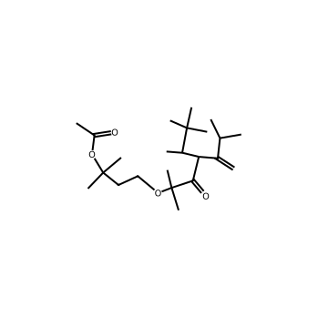 C=C(C(C)C)C(C(=O)C(C)(C)OCCC(C)(C)OC(C)=O)C(C)C(C)(C)C